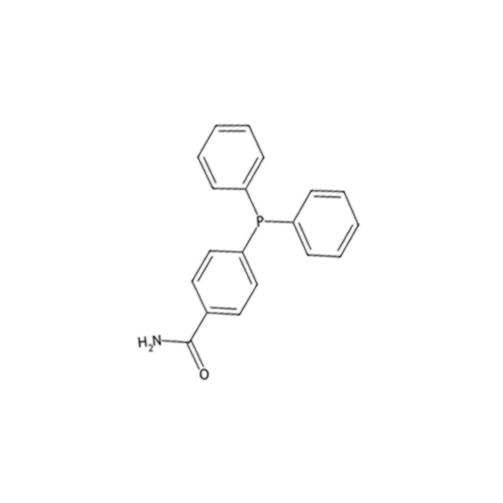 NC(=O)c1ccc(P(c2ccccc2)c2ccccc2)cc1